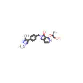 CC[C@@H](CO)Oc1nccc2c1C(=O)N(Cc1ccc(-c3cn(C)nc3C)cc1)C2